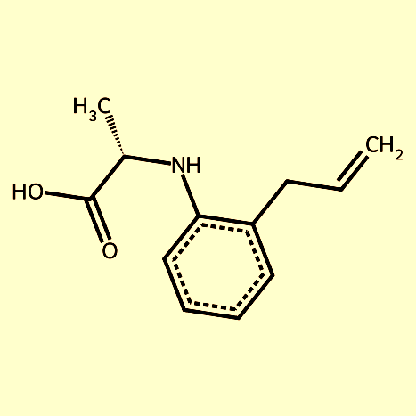 C=CCc1ccccc1N[C@@H](C)C(=O)O